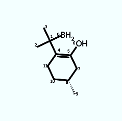 BC(C)(C)C1=C(O)C[C@H](C)CC1